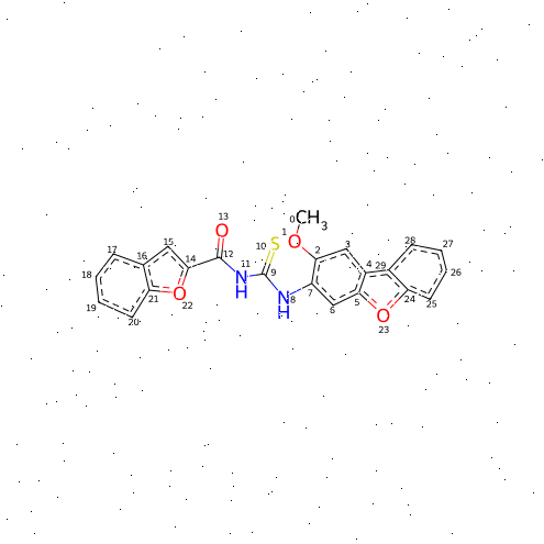 COc1cc2c(cc1NC(=S)NC(=O)c1cc3ccccc3o1)oc1ccccc12